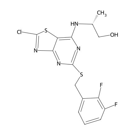 C[C@H](CO)Nc1nc(SCc2cccc(F)c2F)nc2nc(Cl)sc12